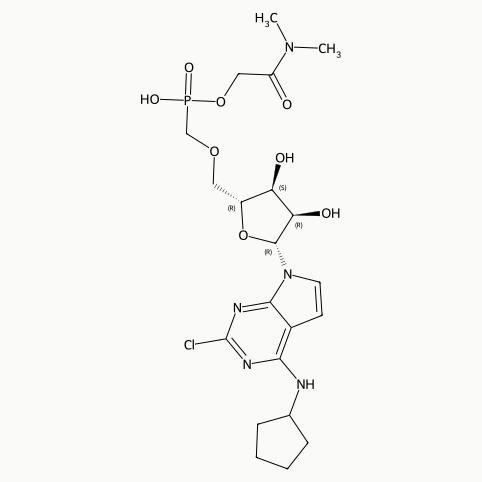 CN(C)C(=O)COP(=O)(O)COC[C@H]1O[C@@H](n2ccc3c(NC4CCCC4)nc(Cl)nc32)[C@H](O)[C@@H]1O